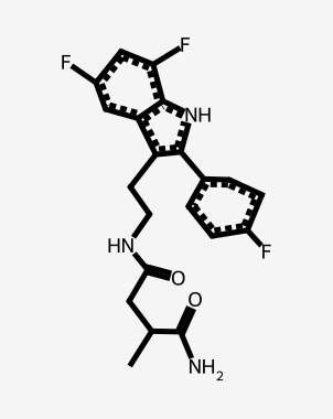 CC(CC(=O)NCCc1c(-c2ccc(F)cc2)[nH]c2c(F)cc(F)cc12)C(N)=O